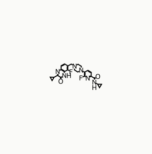 O=C(NC1CC1)c1ccc(N2CCN(Cc3ccc4nc(C5CC5)c(=O)[nH]c4c3F)CC2)c(F)n1